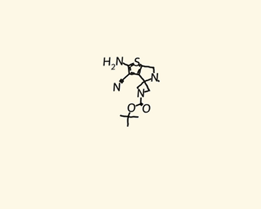 CN1Cc2sc(N)c(C#N)c2C12CN(C(=O)OC(C)(C)C)C2